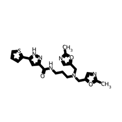 Cc1ncc(CN(CCCNC(=O)c2cc(-c3cccs3)[nH]n2)Cc2cnc(C)o2)o1